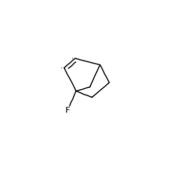 FC12[C]=[C]C(CC1)C2